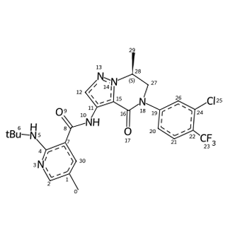 Cc1cnc(NC(C)(C)C)c(C(=O)Nc2cnn3c2C(=O)N(c2ccc(C(F)(F)F)c(Cl)c2)C[C@@H]3C)c1